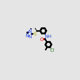 Cc1cc(C(=O)Nc2cccc([C@H](C)Sc3nncn3C)c2)ccc1Cl